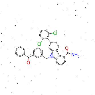 NC(=O)c1cccc2c1c1[c]cc(-c3c(Cl)cccc3Cl)cc1n2Cc1cccc(C(=O)c2ccccc2)c1